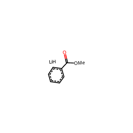 COC(=O)c1ccccc1.[LiH]